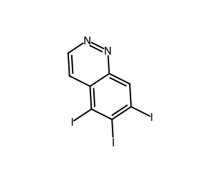 Ic1cc2nnccc2c(I)c1I